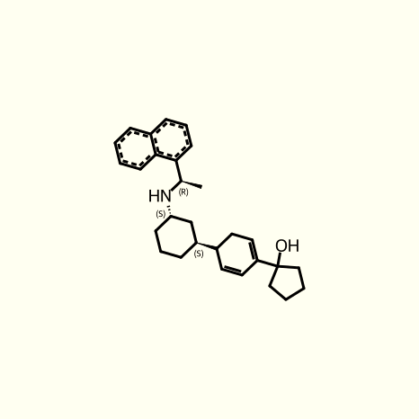 C[C@@H](N[C@H]1CCC[C@H](C2C=CC(C3(O)CCCC3)=CC2)C1)c1cccc2ccccc12